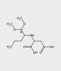 CCCC(NC(CC(=O)O)C(=O)O)[SiH](OC)OC